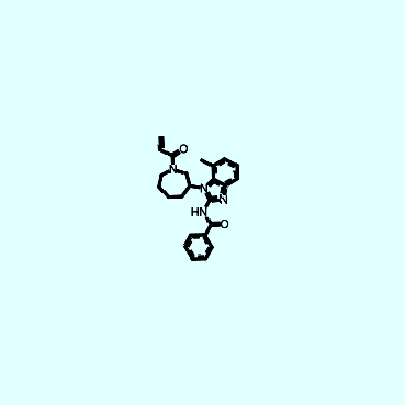 C=CC(=O)N1CCCCC(n2c(NC(=O)c3ccccc3)nc3cccc(C)c32)C1